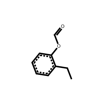 CCc1ccccc1O[C]=O